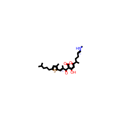 CN/C=C/CCC(C)c1cc(O)c(C(=O)/C(C)=C/c2sc(CCCC(C)C)cc2C)c(=O)o1